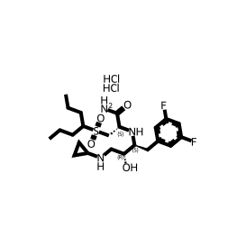 CCCC(CCC)S(=O)(=O)C[C@@H](N[C@@H](Cc1cc(F)cc(F)c1)[C@H](O)CNC1CC1)C(N)=O.Cl.Cl